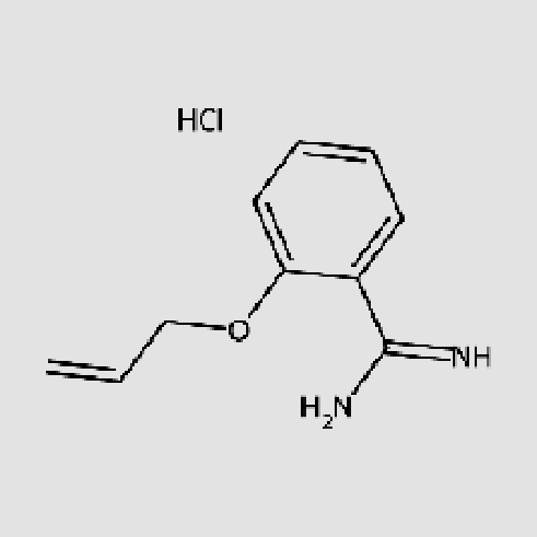 C=CCOc1ccccc1C(=N)N.Cl